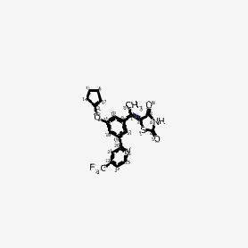 C/C(=C1/SC(=O)NC1=O)c1cc(OC2CCCC2)cc(-c2cc(C(F)(F)F)ccn2)c1